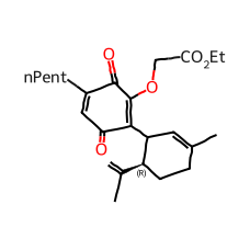 C=C(C)[C@@H]1CCC(C)=CC1C1=C(OCC(=O)OCC)C(=O)C(CCCCC)=CC1=O